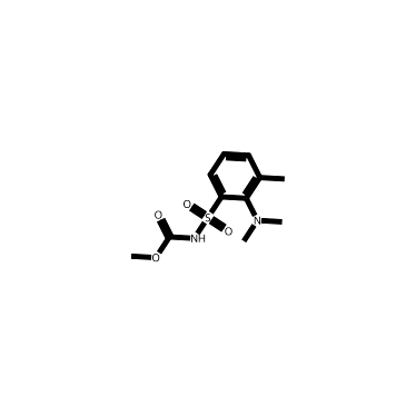 COC(=O)NS(=O)(=O)c1cccc(C)c1N(C)C